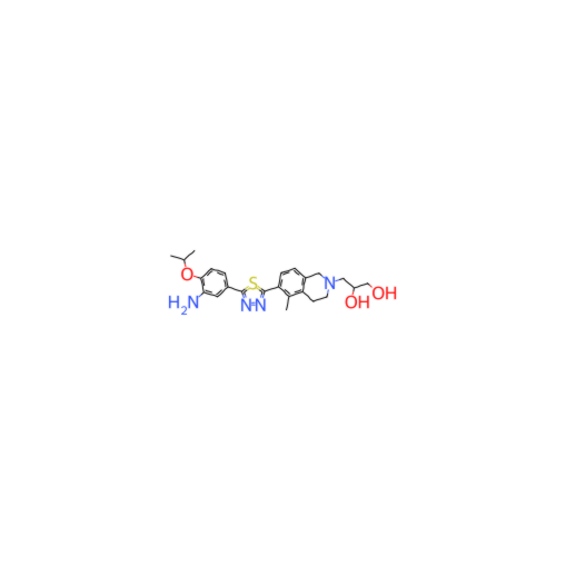 Cc1c(-c2nnc(-c3ccc(OC(C)C)c(N)c3)s2)ccc2c1CCN(CC(O)CO)C2